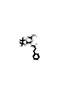 C[C@H](CCc1ccccc1)C[C@@H](OC(N)=O)C1OC(C)(C)C(C)(C)O1